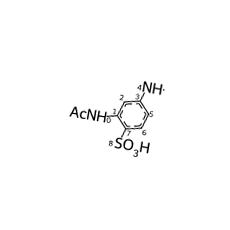 CC(=O)Nc1cc([NH])ccc1S(=O)(=O)O